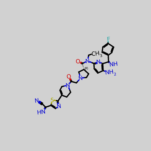 CCN(C(=O)[C@@H]1CCN(CC(=O)N2CC=C(c3ncc(C(=N)C#N)s3)CC2)C1)c1ccc(N)c(C(=N)c2ccc(F)cc2)n1